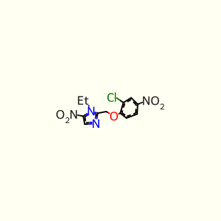 CCn1c([N+](=O)[O-])cnc1COc1ccc([N+](=O)[O-])cc1Cl